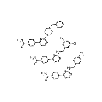 NC(=O)c1ccc(-c2ccnc(N3CCN(Cc4ccccc4)CC3)n2)cc1.NC(=O)c1ccc(-c2ccnc(NCc3cc(Cl)cc(Cl)c3)n2)cc1.NC(=O)c1ccc(-c2ccnc(NCc3ccc(C(F)(F)F)cc3)n2)cc1